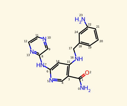 NC(=O)c1cnc(Nc2cnccn2)cc1NCc1cccc(N)c1